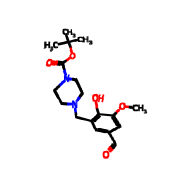 COc1cc(C=O)cc(CN2CCN(C(=O)OC(C)(C)C)CC2)c1O